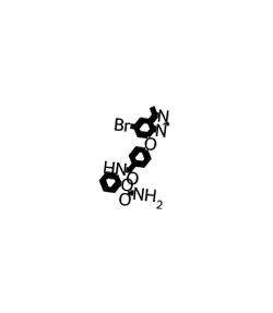 Cc1ncnc2c(Oc3ccc(C(=O)Nc4ccccc4OC(N)=O)cc3)cc(Br)cc12